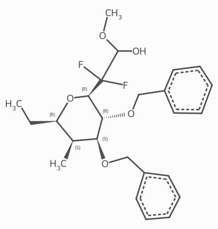 CC[C@H]1O[C@@H](C(F)(F)C(O)OC)[C@H](OCc2ccccc2)[C@@H](OCc2ccccc2)[C@H]1C